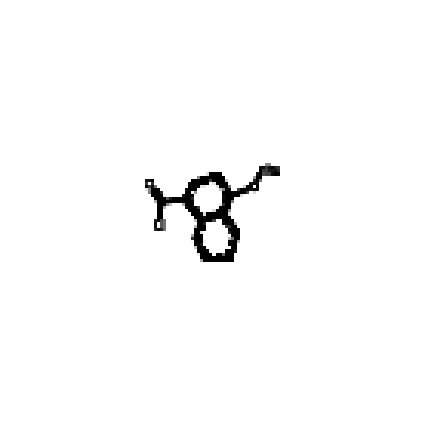 CCCCOc1ccc(C(=O)Cl)c2ccccc12